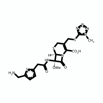 CO[C@@]1(NC(=O)Cc2ccc(CN)s2)C(=O)N2C(C(=O)O)=C(CSc3nnnn3C)CS[C@@H]21